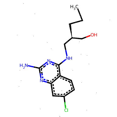 CCC[C@@H](CO)CNc1nc(N)nc2cc(Cl)ccc12